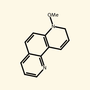 CON1CC=Cc2c1ccc1cccnc21